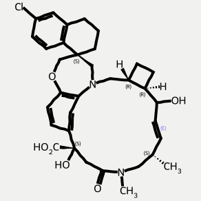 C[C@H]1/C=C/C(O)[C@@H]2CC[C@H]2CN2C[C@@]3(CCCc4cc(Cl)ccc43)COc3ccc(cc32)[C@](O)(C(=O)O)CC(=O)N(C)C1